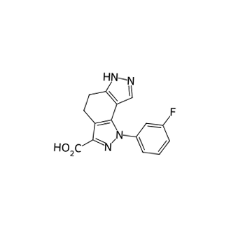 O=C(O)c1nn(-c2cccc(F)c2)c2c1CCc1[nH]ncc1-2